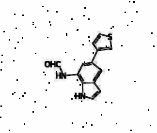 O=CNc1cc(-c2ccsc2)cc2cc[nH]c12